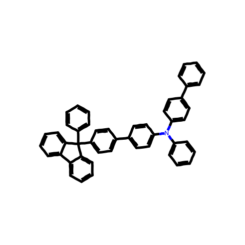 c1ccc(-c2ccc(N(c3ccccc3)c3ccc(-c4ccc(C5(c6ccccc6)c6ccccc6-c6ccccc65)cc4)cc3)cc2)cc1